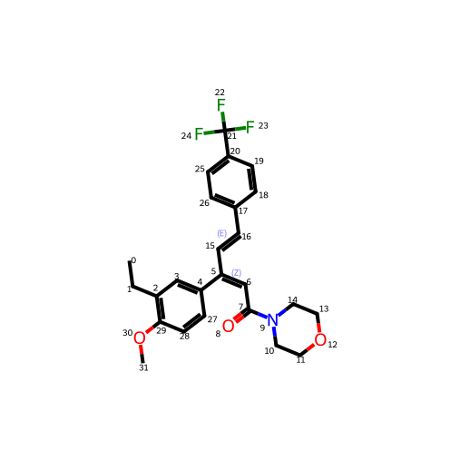 CCc1cc(C(=C\C(=O)N2CCOCC2)/C=C/c2ccc(C(F)(F)F)cc2)ccc1OC